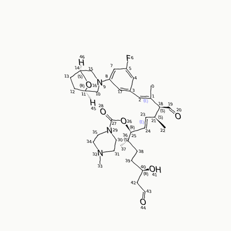 C/C(=C\c1cc(F)cc(N2C[C@H]3CC[C@@H](C2)O3)c1)[C@@H](C=O)[C@@H](C)/C=C/[C@H](OC(=O)N1CCN(C)CC1)[C@@H](C)CC[C@@H](O)CC=O